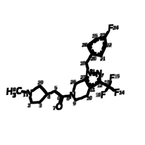 CN1CCC(CC(=O)N2CCc3c(C(F)(F)F)nn(Cc4ccc(F)cc4)c3C2)C1